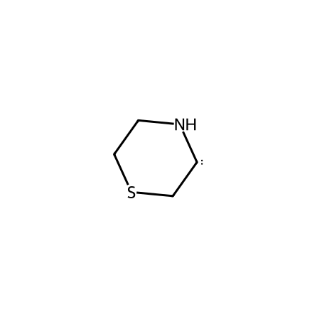 [C]1CSCCN1